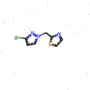 Brc1ccn(Cc2nccs2)n1